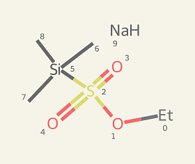 CCOS(=O)(=O)[Si](C)(C)C.[NaH]